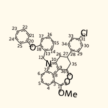 COC(=O)c1cccc2c1c1c(n2Cc2ccccc2Oc2ccccc2)CC(c2ccc(Cl)cc2)CC1=O